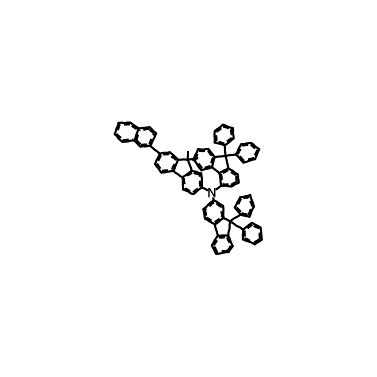 CC1(C)c2cc(-c3ccc4ccccc4c3)ccc2-c2ccc(N(c3ccc4c(c3)C(c3ccccc3)(c3ccccc3)c3ccccc3-4)c3cccc4c3-c3ccccc3C4(c3ccccc3)c3ccccc3)cc21